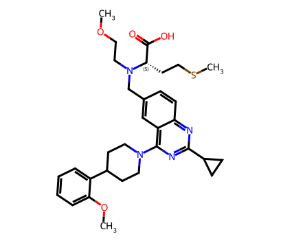 COCCN(Cc1ccc2nc(C3CC3)nc(N3CCC(c4ccccc4OC)CC3)c2c1)[C@@H](CCSC)C(=O)O